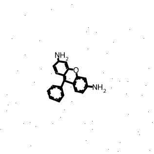 Nc1ccc2c(c1)OC1=CC(N)C=CC1=C2c1ccccc1